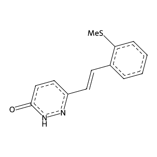 CSc1ccccc1/C=C/c1ccc(=O)[nH]n1